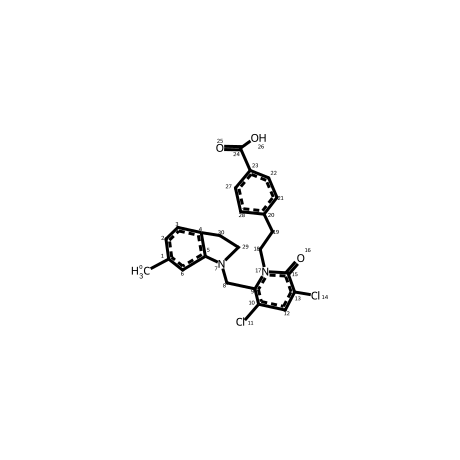 Cc1ccc2c(c1)N(Cc1c(Cl)cc(Cl)c(=O)n1CCc1ccc(C(=O)O)cc1)CC2